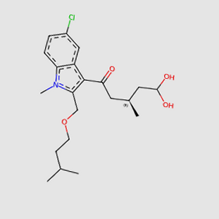 CC(C)CCOCc1c(C(=O)C[C@H](C)CC(O)O)c2cc(Cl)ccc2n1C